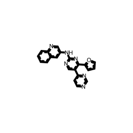 c1coc(-c2nc(Nc3cnc4ccccc4c3)ncc2-c2ccncn2)c1